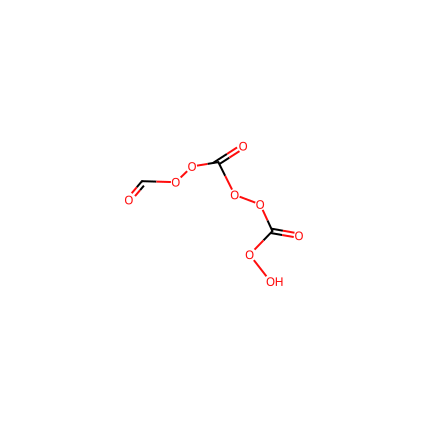 O=COOC(=O)OOC(=O)OO